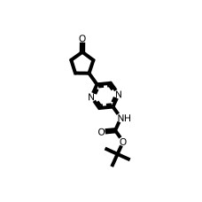 CC(C)(C)OC(=O)Nc1cnc(C2CCC(=O)C2)cn1